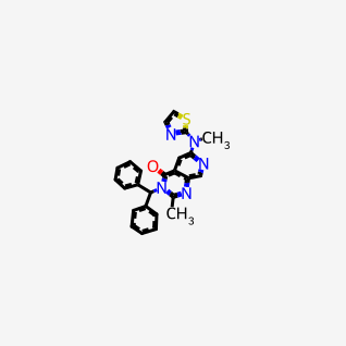 Cc1nc2cnc(N(C)c3nccs3)cc2c(=O)n1C(c1ccccc1)c1ccccc1